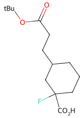 CC(C)(C)OC(=O)CCC1CCCC(F)(C(=O)O)C1